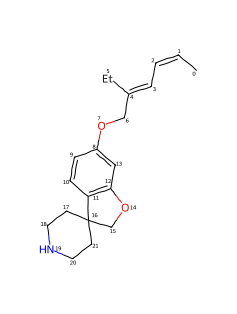 C/C=C\C=C(/CC)COc1ccc2c(c1)OCC21CCNCC1